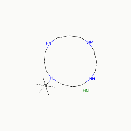 Cl.[CH3][Ti]([CH3])([CH3])([CH3])([CH3])[N]1CCCNCCCNCCCNCCC1